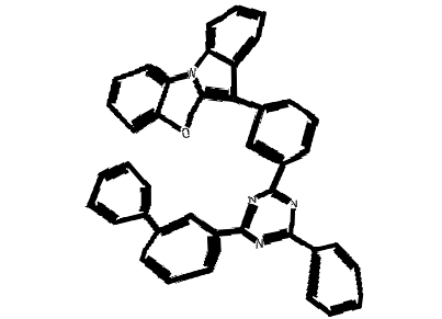 c1ccc(-c2cccc(-c3nc(-c4ccccc4)nc(-c4cccc(-c5c6ccccc6n6c5oc5ccccc56)c4)n3)c2)cc1